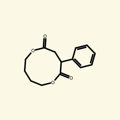 O=C1CC(c2ccccc2)C(=O)OCCCCO1